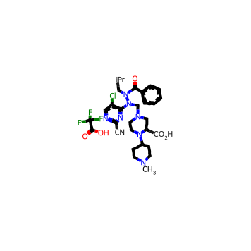 CC(C)CN(C(=O)c1ccccc1)N(CN1CCN(C2CCN(C)CC2)C(C(=O)O)C1)c1nc(C#N)ncc1Cl.O=C(O)C(F)(F)F